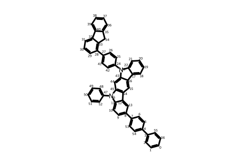 c1ccc(-c2ccc(-c3ccc4c(c3)c3cc5c6ccccc6n(-c6ccc(-c7cccc8c7Cc7ccccc7-8)cc6)c5cc3n4-c3ccccc3)cc2)cc1